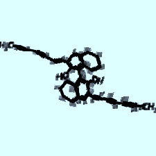 CC#CC#CC#Cc1cc2c(c(-c3c(O)c(C#CC#CC#CC)cc4c3CCCC4)c1O)CCCC2